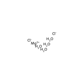 O.O.O.O.[Cl-].[Cl-].[Mg+2]